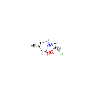 CCCCC1CCN(C[C@@H](O)CCl)CC1